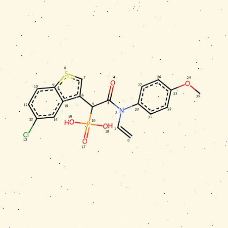 C=CN(C(=O)C(c1csc2ccc(Cl)cc12)P(=O)(O)O)c1ccc(OC)cc1